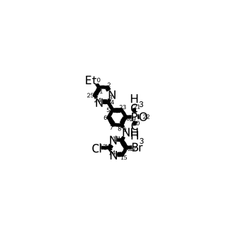 CCc1cnc(-c2ccc(Nc3nc(Cl)ncc3Br)c(P(C)(C)=O)c2)nc1